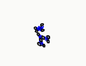 c1ccc(-c2nc(-c3ccccc3)nc(-n3c4ccccc4c4ccc(-c5ccc(-n6c7ccc(-n8c9ccccc9c9ccccc98)cc7c7cc(-n8c9ccccc9c9ccccc98)ccc76)cc5)cc43)n2)cc1